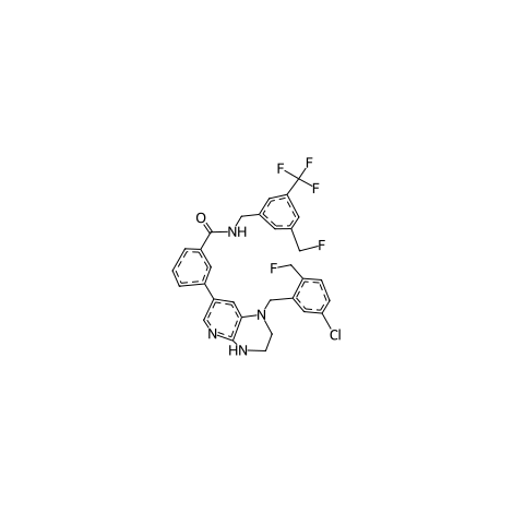 O=C(NCc1cc(CF)cc(C(F)(F)F)c1)c1cccc(-c2cnc3c(c2)N(Cc2cc(Cl)ccc2CF)CCN3)c1